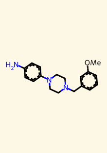 COc1cccc(CN2CCN(c3ccc(N)cc3)CC2)c1